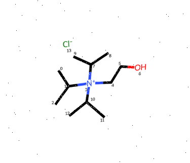 CC(C)[N+](CCO)(C(C)C)C(C)C.[Cl-]